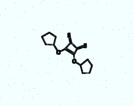 S=c1c(OC2CCCC2)c(OC2CCCC2)c1=S